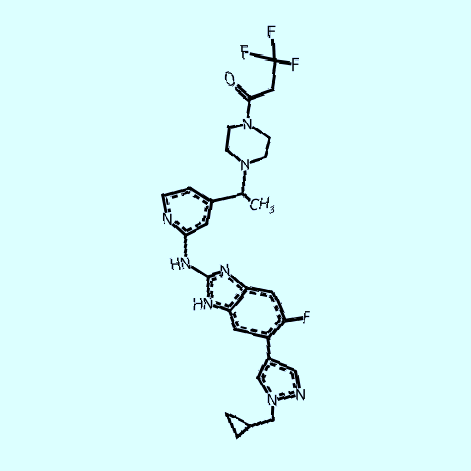 CC(c1ccnc(Nc2nc3cc(F)c(-c4cnn(CC5CC5)c4)cc3[nH]2)c1)N1CCN(C(=O)CC(F)(F)F)CC1